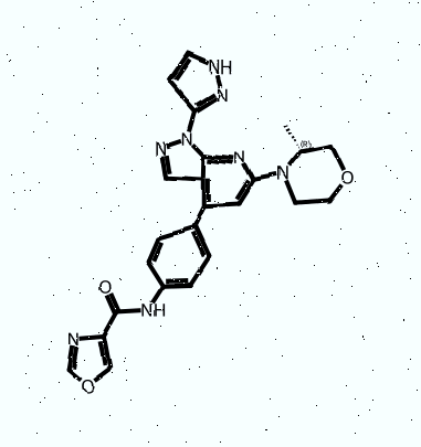 C[C@@H]1COCCN1c1cc(-c2ccc(NC(=O)c3cocn3)cc2)c2cnn(-c3cc[nH]n3)c2n1